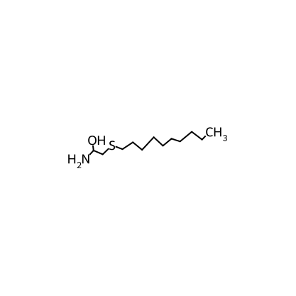 CCCCCCCCCCSCC(N)O